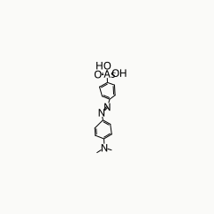 CN(C)c1ccc(N=Nc2ccc([As](=O)(O)O)cc2)cc1